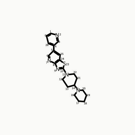 c1cncc(-c2cnc3nc(N4CCC(N5CCCCC5)CC4)sc3c2)c1